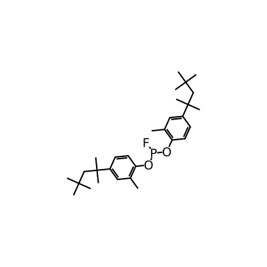 Cc1cc(C(C)(C)CC(C)(C)C)ccc1OP(F)Oc1ccc(C(C)(C)CC(C)(C)C)cc1C